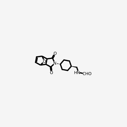 O=CNC[C@H]1CC[C@H](N2C(=O)C3C4C=CC(O4)C3C2=O)CC1